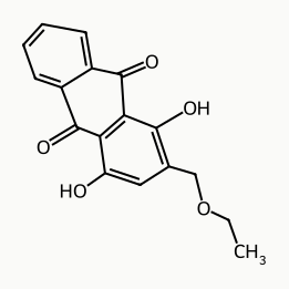 CCOCc1cc(O)c2c(c1O)C(=O)c1ccccc1C2=O